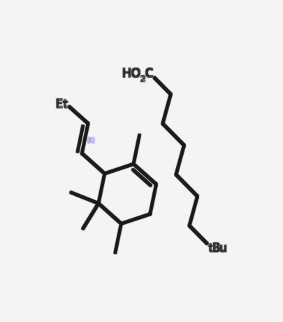 CC(C)(C)CCCCCCC(=O)O.CC/C=C/C1C(C)=CCC(C)C1(C)C